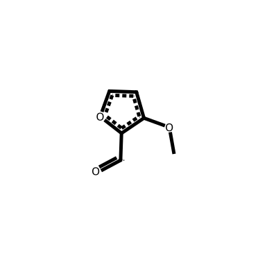 COc1ccoc1[C]=O